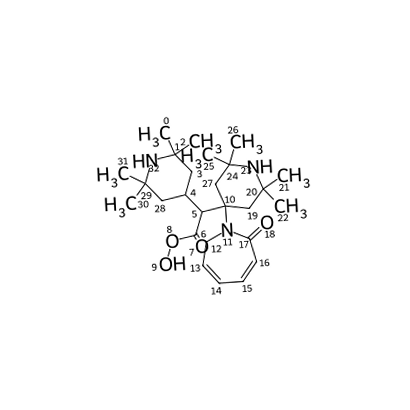 CC1(C)CC(C(C(=O)OO)C2(N3CC=CC=CC3=O)CC(C)(C)NC(C)(C)C2)CC(C)(C)N1